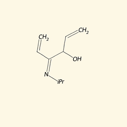 C=CC(=NC(C)C)C(O)C=C